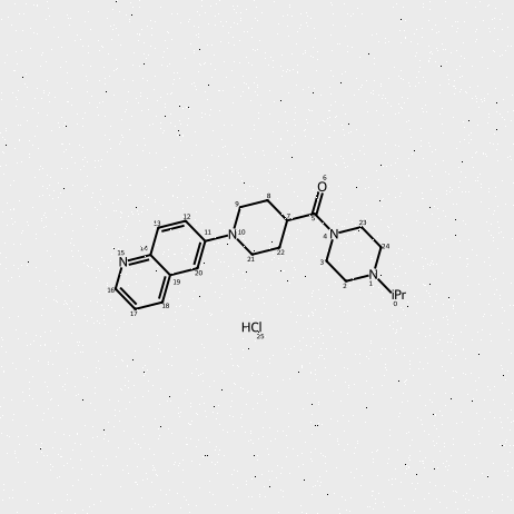 CC(C)N1CCN(C(=O)C2CCN(c3ccc4ncccc4c3)CC2)CC1.Cl